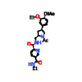 CCNC(=O)c1ccc(C(=O)NC[C@H]2C[C@@H](c3ccc(OC)c(OCC)c3)CN2C(C)=O)nc1